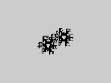 C[Si](C)(O[Si](C)(C)c1c(F)c(F)c(F)c(F)c1F)c1c(F)c(F)c(F)c(F)c1F